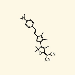 CC1=C(c2sc(/C=C/c3ccc(N(C)C)cc3)c(C)c2C)C(C)(C)OC1=C(C#N)C#N